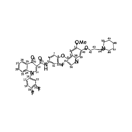 COc1cc2c(Oc3ccc(NC(=O)c4cn(-c5ccc(F)c(F)c5)c5ccccc5c4=O)cc3F)ccnc2cc1OCCCN1CCCCC1